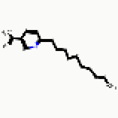 C=C(C)c1ccc(CCCCCCCCCC)nc1